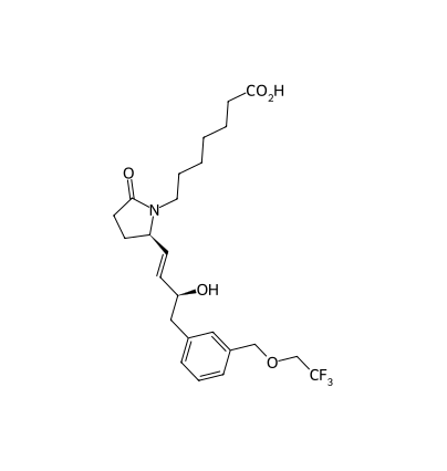 O=C(O)CCCCCCN1C(=O)CC[C@@H]1/C=C/[C@@H](O)Cc1cccc(COCC(F)(F)F)c1